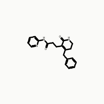 O=C(CCC1=C(Cc2ccccc2)CCNC1=O)Nc1ccccn1